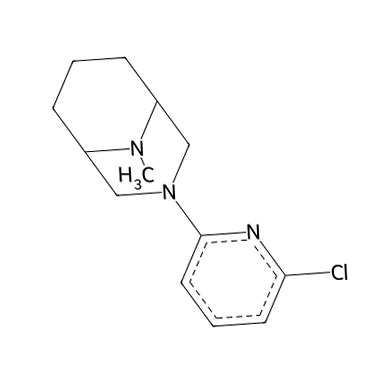 CN1C2CCCC1CN(c1cccc(Cl)n1)C2